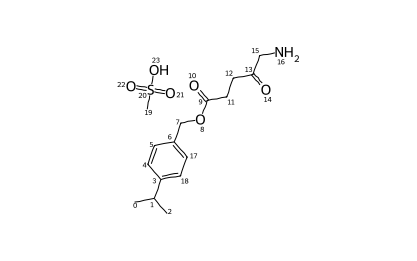 CC(C)c1ccc(COC(=O)CCC(=O)CN)cc1.CS(=O)(=O)O